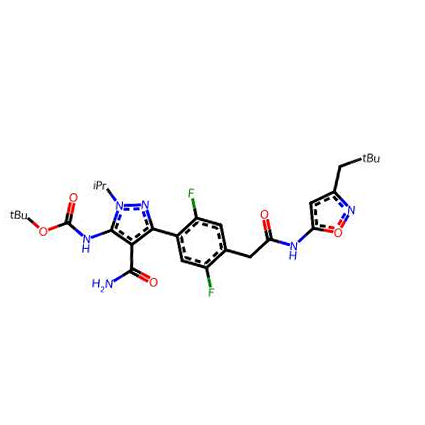 CC(C)n1nc(-c2cc(F)c(CC(=O)Nc3cc(CC(C)(C)C)no3)cc2F)c(C(N)=O)c1NC(=O)OC(C)(C)C